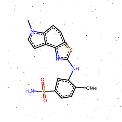 COc1ccc(S(N)(=O)=O)cc1Nc1nc2c(ccc3c2ccn3C)s1